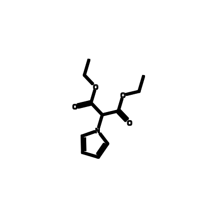 CCOC(=O)C(C(=O)OCC)n1cccc1